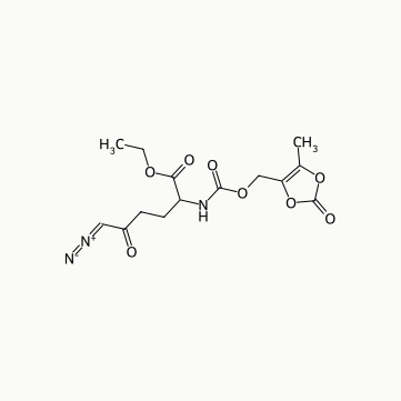 CCOC(=O)C(CCC(=O)C=[N+]=[N-])NC(=O)OCc1oc(=O)oc1C